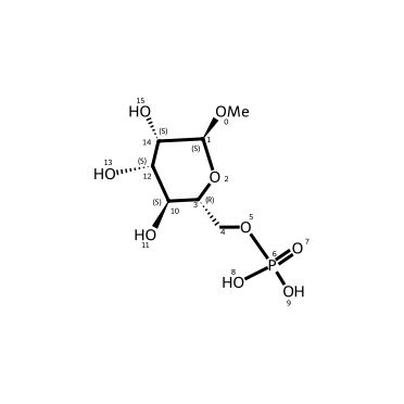 CO[C@H]1O[C@H](COP(=O)(O)O)[C@@H](O)[C@H](O)[C@@H]1O